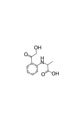 CC(Nc1ccccc1C(=O)CO)C(=O)O